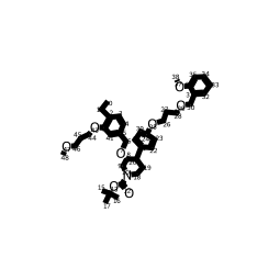 CCc1ccc(COC2CN(C(=O)OC(C)(C)C)CCC2c2ccc(OCCCOCc3ccccc3OC)cc2)cc1OCCCOC